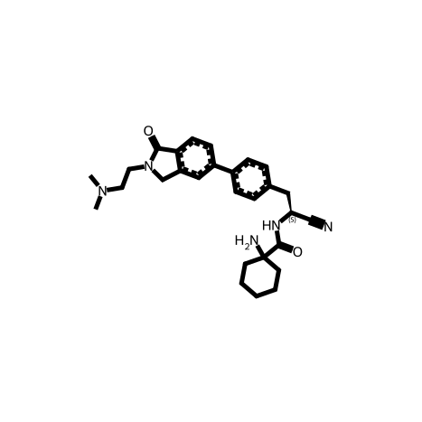 CN(C)CCN1Cc2cc(-c3ccc(C[C@@H](C#N)NC(=O)C4(N)CCCCC4)cc3)ccc2C1=O